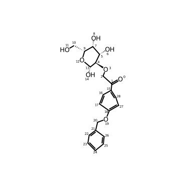 O=C(CO[C@@H]1[C@@H](O)[C@@H](O)[C@@H](CO)O[C@H]1O)c1ccc(OCc2ccccc2)cc1